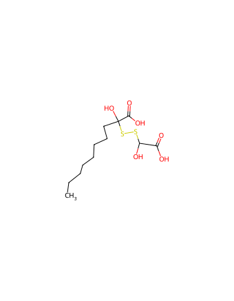 CCCCCCCCC(O)(SSC(O)C(=O)O)C(=O)O